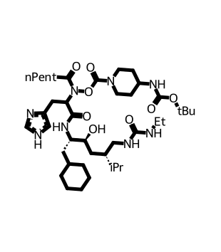 CCCCCC(=O)N(OC(=O)N1CCC(NC(=O)OC(C)(C)C)CC1)C(Cc1c[nH]cn1)C(=O)N[C@@H](CC1CCCCC1)[C@@H](O)C[C@H](CNC(=O)NCC)C(C)C